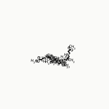 COC(=O)CCNCC(C)(C)CC[Si](OC)(OC)OC1(C)CC[Si]1(C)OC(C)(C)[Si](CCC(C)(C)CNCCC(=O)OC)(OC)OC